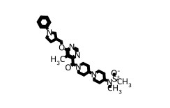 Cc1c(OCC2CCN(c3ccccc3)C2)ncnc1C(=O)N1CCC(N2CCC(N(C)[S+](C)[O-])CC2)CC1